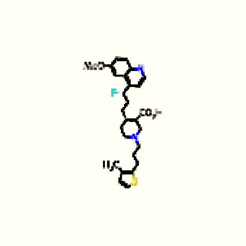 COc1ccc2nccc([C@@H](F)CC[C@@H]3CCN(CCCc4sccc4C)C[C@@H]3C(=O)O)c2c1